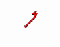 CCCCc1nc2c(NC(C)(C)C)nc3cc(C4CCN(CCOCCOCCOCCOCCOCCOCCOCCOCCNC(=O)OC(C)(C)C)CC4)sc3c2n1CC1CCOCC1